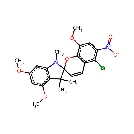 COc1cc(OC)c2c(c1)N(C)C1(C=Cc3c(Br)c([N+](=O)[O-])cc(OC)c3O1)C2(C)C